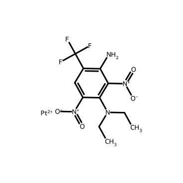 CCN(CC)c1c([N+](=O)[O-])cc(C(F)(F)F)c(N)c1[N+](=O)[O-].[Pt+2]